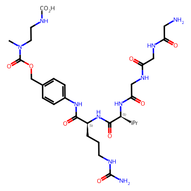 CC(C)[C@H](NC(=O)CNC(=O)CNC(=O)CN)C(=O)N[C@@H](CCCNC(N)=O)C(=O)Nc1ccc(COC(=O)N(C)CCNC(=O)O)cc1